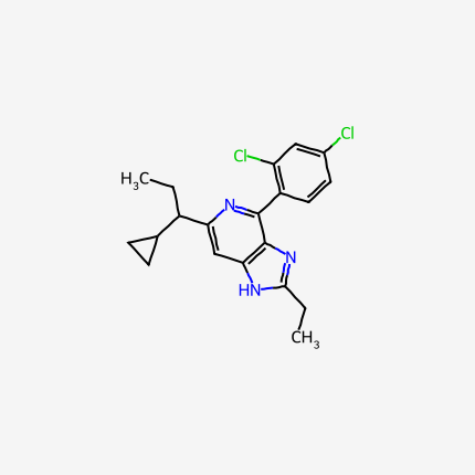 CCc1nc2c(-c3ccc(Cl)cc3Cl)nc(C(CC)C3CC3)cc2[nH]1